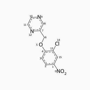 O=[N+]([O-])c1ccc(OCc2cnccn2)c(Cl)c1